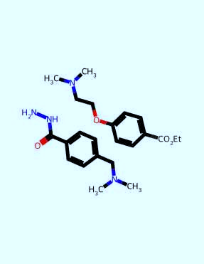 CCOC(=O)c1ccc(OCCN(C)C)cc1.CN(C)Cc1ccc(C(=O)NN)cc1